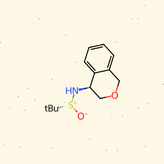 CC(C)(C)[S@@+]([O-])N[C@@H]1COCc2ccccc21